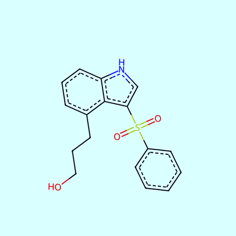 O=S(=O)(c1ccccc1)c1c[nH]c2cccc(CCCO)c12